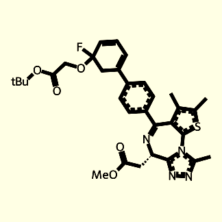 COC(=O)C[C@@H]1N=C(c2ccc(C3=CC=CC(F)(OCC(=O)OC(C)(C)C)C3)cc2)c2c(sc(C)c2C)-n2c(C)nnc21